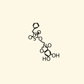 O=C1c2cc(O)c(O)cc2OCN1CCOC1SC(=O)N(Cc2ccccc2)C1=O